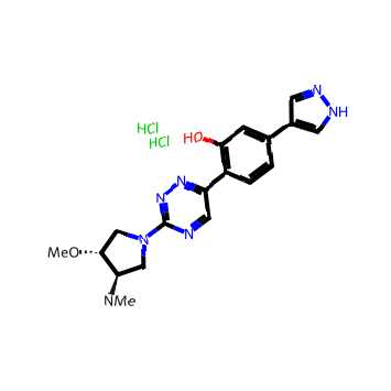 CN[C@@H]1CN(c2ncc(-c3ccc(-c4cn[nH]c4)cc3O)nn2)C[C@H]1OC.Cl.Cl